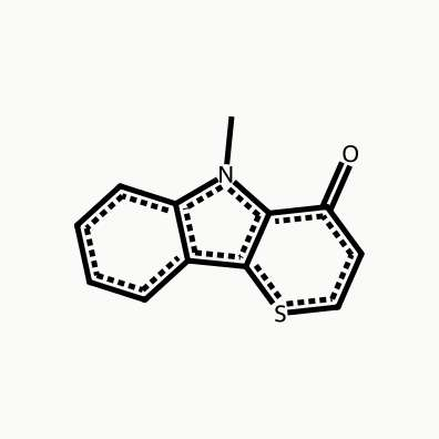 Cn1c2ccccc2c2sccc(=O)c21